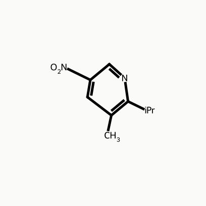 Cc1cc([N+](=O)[O-])cnc1C(C)C